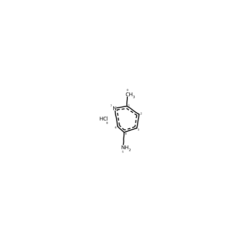 Cc1ccc(N)cn1.Cl